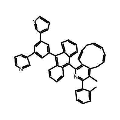 Cc1ccccc1-c1nc(-c2c3ccccc3c(-c3cc(-c4cccnc4)cc(-c4cccnc4)c3)c3ccccc23)c2c(c1C)C/C=C\C=C/C/C=C\2